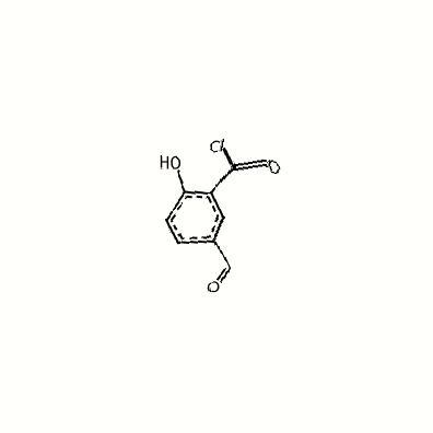 O=Cc1ccc(O)c(C(=O)Cl)c1